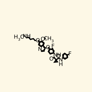 CNCCCCCOc1cc2nccc(Oc3ccc(NC(=O)C4(C(=O)Nc5ccc(F)cc5)CC4)cc3F)c2cc1OC